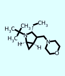 CC[C@@H]1C(CN2CCOCC2)[C@H]2C[C@H]2N1C(C)(C)C